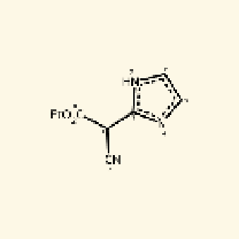 CCOC(=O)C(C#N)c1ncc[nH]1